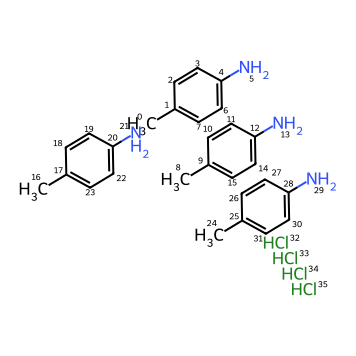 Cc1ccc(N)cc1.Cc1ccc(N)cc1.Cc1ccc(N)cc1.Cc1ccc(N)cc1.Cl.Cl.Cl.Cl